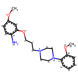 COc1[c]c(OCCCN2CCN(c3ccccc3OC)CC2)c(N)cc1